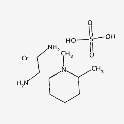 CC1CCCCN1C.NCCN.O=S(=O)(O)O.[Cr]